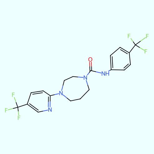 O=C(Nc1ccc(C(F)(F)F)cc1)N1CCCN(c2ccc(C(F)(F)F)cn2)CC1